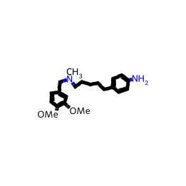 COc1ccc(CN(C)CCCCCc2ccc(N)cc2)cc1OC